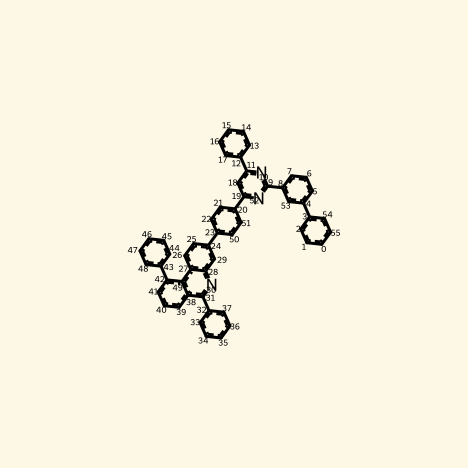 c1ccc(-c2cccc(-c3nc(-c4ccccc4)cc(-c4ccc(-c5ccc6c(c5)nc(-c5ccccc5)c5cccc(-c7ccccc7)c56)cc4)n3)c2)cc1